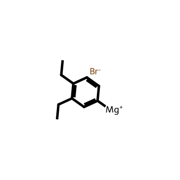 CCc1cc[c]([Mg+])cc1CC.[Br-]